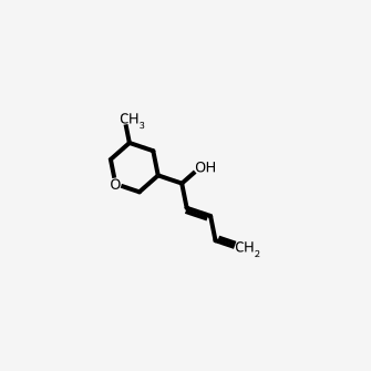 C=CC=CC(O)C1COCC(C)C1